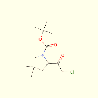 CC1(C)CC(C(=O)CCl)N(C(=O)OC(C)(C)C)C1